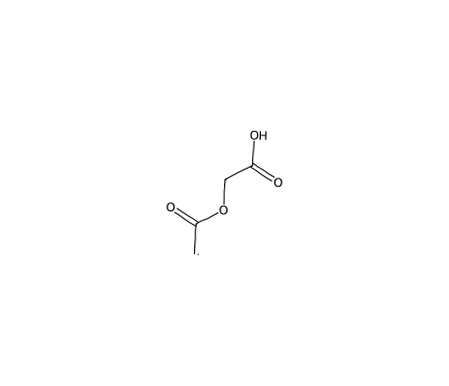 [CH2]C(=O)OCC(=O)O